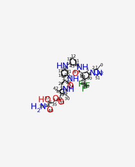 Cc1cn(-c2cc(C(=O)Nc3cccc(Nc4ccc5c(c4)NC(=O)C5=Cc4[nH]c(C)c(C(=O)OCC(O)C(N)=O)c4C)c3)cc(C(F)(F)F)c2)cn1